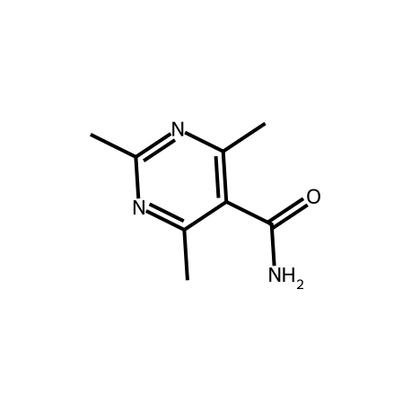 Cc1nc(C)c(C(N)=O)c(C)n1